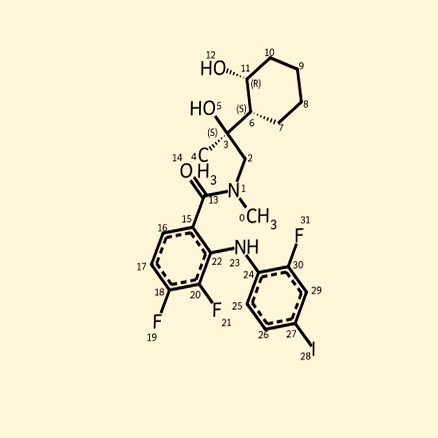 CN(C[C@@](C)(O)[C@H]1CCCC[C@H]1O)C(=O)c1ccc(F)c(F)c1Nc1ccc(I)cc1F